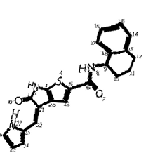 O=C1Nc2sc(C(=O)NC3CCCc4ccccc43)cc2/C1=C/c1ccc[nH]1